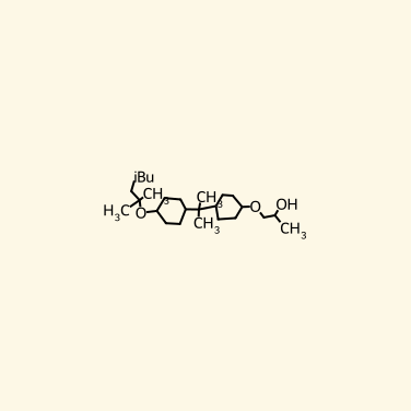 CCC(C)CC(C)(C)OC1CCC(C(C)(C)C2CCC(OCC(C)O)CC2)CC1